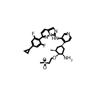 C[C@H]1C[C@@H](c2ccncc2Nc2ncc3ccc(-c4c(F)cc(C5CC5)cc4F)nn23)C[C@@H](N)[C@H]1OCCS(C)(=O)=O